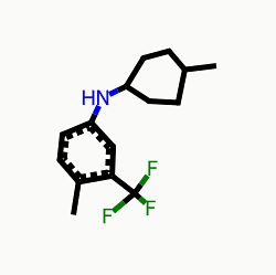 Cc1ccc(NC2CCC(C)CC2)cc1C(F)(F)F